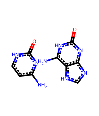 Nc1[nH]c(=O)nc2nc[nH]c12.Nc1cc[nH]c(=O)n1